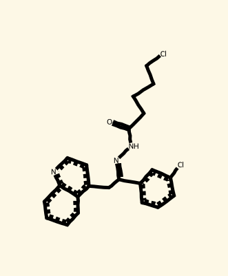 O=C(CCCCCl)NN=C(Cc1ccnc2ccccc12)c1cccc(Cl)c1